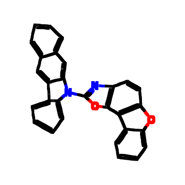 c1ccc2cc3c(cc2c1)c1ccccc1n3-c1nc2ccc3oc4ccccc4c3c2o1